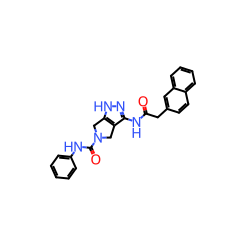 O=C(Cc1ccc2ccccc2c1)Nc1n[nH]c2c1CN(C(=O)Nc1ccccc1)C2